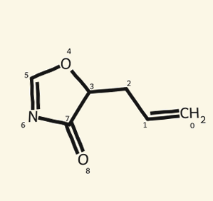 C=CCC1OC=NC1=O